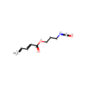 C=CC=CC(=O)OCCCN=C=O